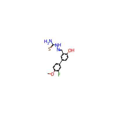 COc1ccc(-c2ccc(O)c(C=NNC(N)=S)c2)cc1F